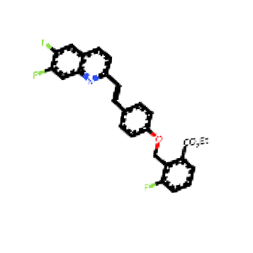 CCOC(=O)c1cccc(F)c1COc1ccc(C=Cc2ccc3cc(F)c(F)cc3n2)cc1